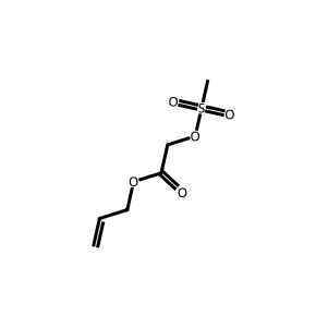 C=CCOC(=O)COS(C)(=O)=O